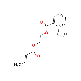 CC=CC(=O)OCCOC(=O)c1ccccc1C(=O)O